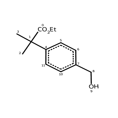 CCOC(=O)C(C)(C)c1ccc(CO)cc1